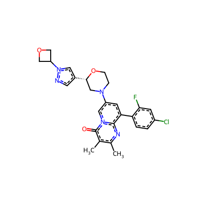 Cc1nc2c(-c3ccc(Cl)cc3F)cc(N3CCO[C@@H](c4cnn(C5COC5)c4)C3)cn2c(=O)c1C